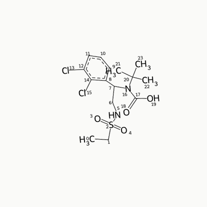 CCS(=O)(=O)NCC(c1cccc(Cl)c1Cl)N(C(=O)O)C(C)(C)C